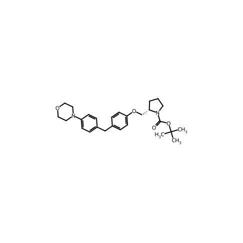 CC(C)(C)OC(=O)N1CCC[C@H]1COc1ccc(Cc2ccc(N3CCOCC3)cc2)cc1